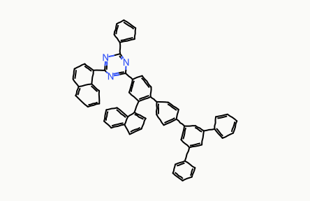 c1ccc(-c2cc(-c3ccccc3)cc(-c3ccc(-c4ccc(-c5nc(-c6ccccc6)nc(-c6cccc7ccccc67)n5)cc4-c4cccc5ccccc45)cc3)c2)cc1